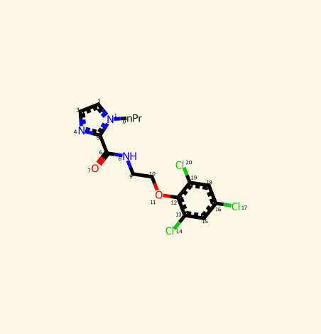 CCCn1ccnc1C(=O)NCCOc1c(Cl)cc(Cl)cc1Cl